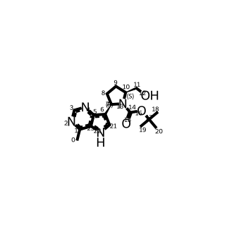 Cc1ncnc2c([C@H]3CC[C@@H](CO)N3C(=O)OC(C)(C)C)c[nH]c12